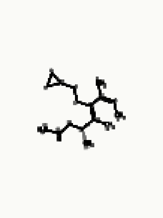 C/C=C(C)\C(CCC1CC1)=C(/C)[C@H](C)CNC